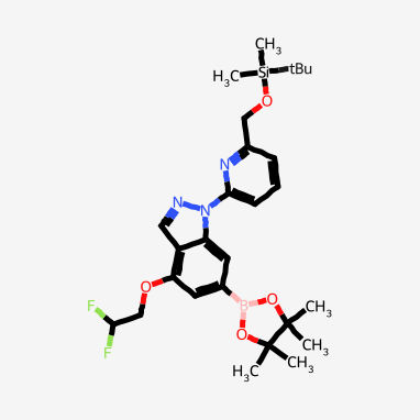 CC1(C)OB(c2cc(OCC(F)F)c3cnn(-c4cccc(CO[Si](C)(C)C(C)(C)C)n4)c3c2)OC1(C)C